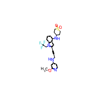 COc1cc(NCC#Cc2cc3c(NC4CCS(=O)(=O)CC4)cccc3n2CC(F)(F)F)ccn1